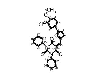 COc1ccc(-c2ccc(C=C3C(=O)N(c4ccccc4)C(=S)N(c4ccccc4)C3=O)o2)cc1Cl